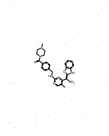 Cc1cnc(NCc2ccc(C(=O)N3CCN(C)CC3)cc2)nc1/C(N)=C1/Nc2ccccc2O1